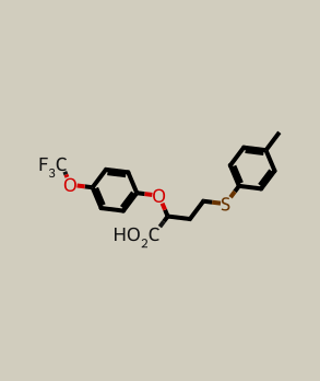 Cc1ccc(SCCC(Oc2ccc(OC(F)(F)F)cc2)C(=O)O)cc1